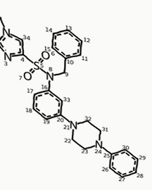 Cn1cnc(S(=O)(=O)N(Cc2ccccc2)c2cccc(N3CCN(c4ccccc4)CC3)c2)c1